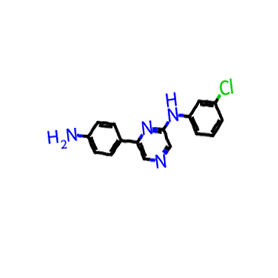 Nc1ccc(-c2cncc(Nc3cccc(Cl)c3)n2)cc1